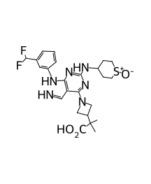 CC(C)(C(=O)O)C1CN(c2nc(NC3CC[S+]([O-])CC3)nc(Nc3cccc(C(F)F)c3)c2C=N)C1